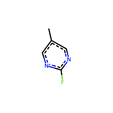 Cc1cnc(F)nc1